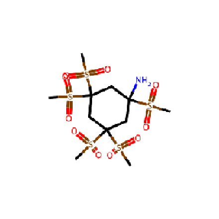 CS(=O)(=O)C1(N)CC(S(C)(=O)=O)(S(C)(=O)=O)CC(S(C)(=O)=O)(S(C)(=O)=O)C1